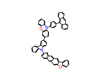 c1ccc2c(c1)Oc1cc(-c3ccc4c(c3)c3ccccc3n4-c3ccc4cc5cc6oc7ccccc7c6cc5cc4c3)ccc1N2c1ccc(-c2c3ccccc3cc3ccccc23)cc1